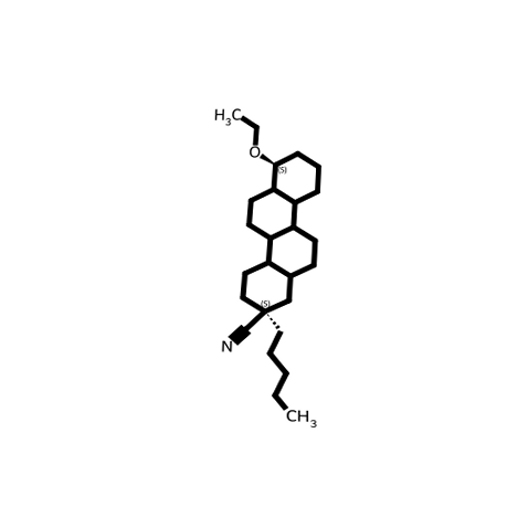 CCCCC[C@]1(C#N)CCC2C(CCC3C2CCC2C3CCC[C@@H]2OCC)C1